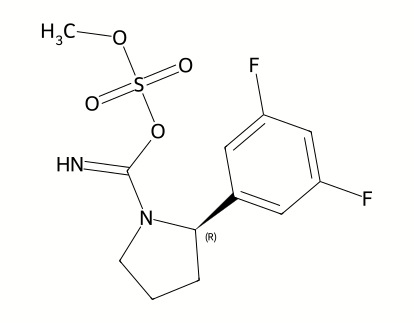 COS(=O)(=O)OC(=N)N1CCC[C@@H]1c1cc(F)cc(F)c1